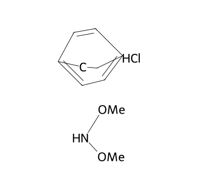 CONOC.Cl.c1cc2ccc1CC2